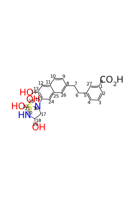 O=C(O)c1cccc(CCc2ccc3cc(O)c(N4CC(O)NS4(O)O)cc3c2)c1